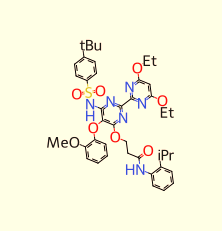 CCOc1cc(OCC)nc(-c2nc(NS(=O)(=O)c3ccc(C(C)(C)C)cc3)c(Oc3ccccc3OC)c(OCCC(=O)Nc3ccccc3C(C)C)n2)n1